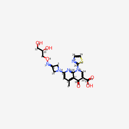 Cc1cc(N2CC(=NOC[C@H](O)CO)C2)nc2c1c(=O)c(C(=O)O)cn2-c1nccs1